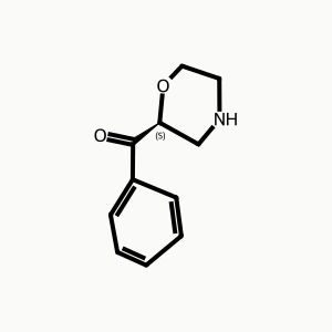 O=C(c1ccccc1)[C@@H]1CNCCO1